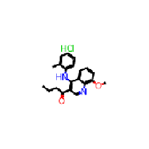 CCCC(=O)c1cnc2c(OC)cccc2c1Nc1ccccc1C.Cl